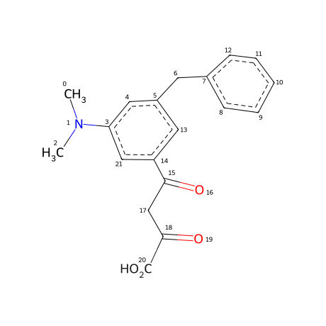 CN(C)c1cc(Cc2ccccc2)cc(C(=O)CC(=O)C(=O)O)c1